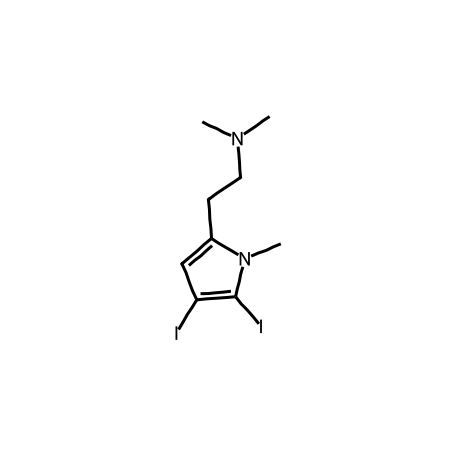 CN(C)CCc1cc(I)c(I)n1C